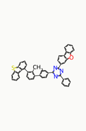 Cc1c(-c2ccc(-c3nc(-c4ccccc4)nc(-c4ccc5c(c4)oc4ccccc45)n3)cc2)cccc1-c1cccc2sc3ccccc3c12